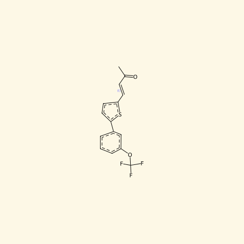 CC(=O)/C=C/c1ccc(-c2cccc(OC(F)(F)F)c2)s1